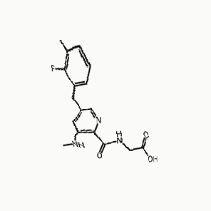 CNc1cc(Cc2cccc(C)c2F)cnc1C(=O)NCC(=O)O